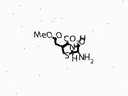 COC(=O)CC1=C(C(=O)O)N2C(=O)[C@@H](N)[C@@H]2SC1